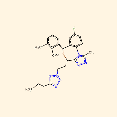 COc1cccc([C@@H]2S[C@@H](CCn3nnc(CCC(=O)O)n3)c3nnc(C(F)(F)F)n3-c3ccc(Cl)cc32)c1OC